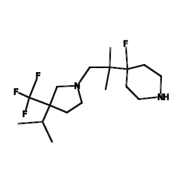 CC(C)C1(C(F)(F)F)CCN(CC(C)(C)C2(F)CCNCC2)C1